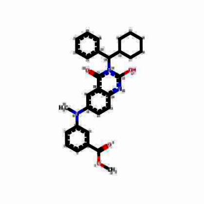 COC(=O)c1cccc(N(C)c2ccc3nc(O)n(C(c4ccccc4)C4CCCCC4)c(=O)c3c2)c1